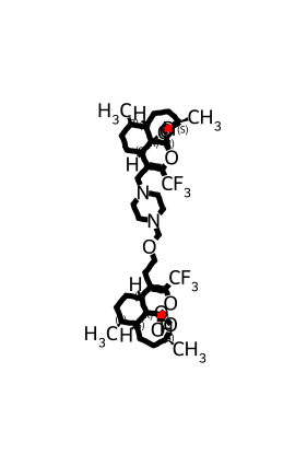 C[C@@H]1CC[C@H]2C(CCOCN3CCN(CC4=C(C(F)(F)F)O[C@@H]5O[C@]6(C)CC[C@H]7[C@H](C)CC[C@@H]4[C@@]57OO6)CC3)=C(C(F)(F)F)O[C@@H]3O[C@]4(C)CC[C@@H]1[C@]32OO4